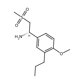 CCCc1cc([C@H](N)CS(C)(=O)=O)ccc1OC